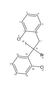 Clc1ccccc1CC(Br)(I)c1ccccc1Cl